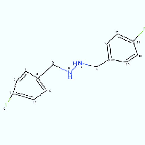 Fc1ccc(CNNCc2ccc(F)cc2)cc1